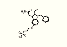 CCC1C(CC(N)=O)c2cc(OCCCS(=O)(=O)O)ccc2N1Cc1ccccc1